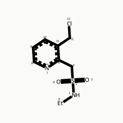 CCNS(=O)(=O)Cc1ncccc1CCl